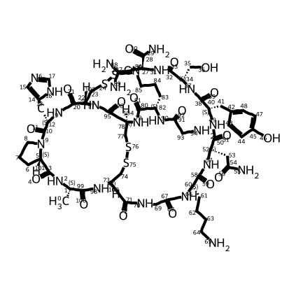 C[C@@H]1NC(=O)[C@@H]2CCCN2C(=O)[C@H](Cc2cnc[nH]2)NC(=O)[C@@H]2CSSC[C@@H](C(N)=O)NC(=O)[C@H](CO)NC(=O)[C@H](Cc3ccc(O)cc3)NC(=O)[C@H](CC(N)=O)NC(=O)[C@H](CCCCN)NC(=O)CNC(=O)[C@H](CSSC[C@H](NC(=O)[C@H](CCCN=C(N)N)NC(=O)CN)C(=O)N2)NC1=O